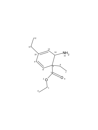 CCOC(=O)C1(CC)C=CC(CC)=CC1N